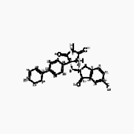 O=C1NC(=O)[C@](CN2Cc3ccc(F)cc3C2=O)(c2ccc(C3=CC=NCC3)cc2)N1